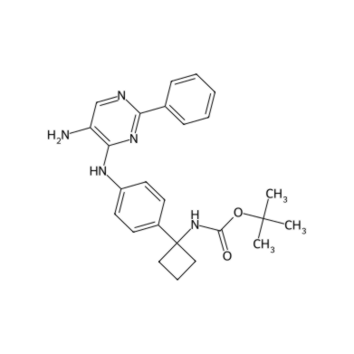 CC(C)(C)OC(=O)NC1(c2ccc(Nc3nc(-c4ccccc4)ncc3N)cc2)CCC1